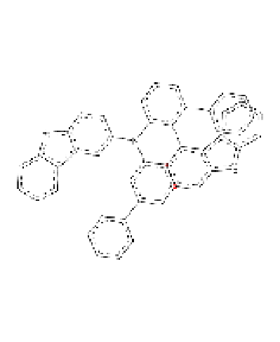 c1ccc(-c2cccc(N(c3ccc4sc5ccccc5c4c3)c3cccc(-c4ccccc4)c3-c3cccc4sc5ccccc5c34)c2)cc1